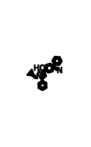 N#CC1(c2ccccc2)CCC(O)(c2cc(-c3ccccc3)n(CC3CC3)n2)CC1